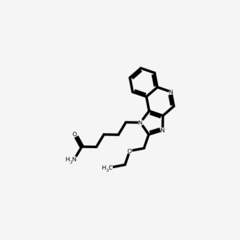 CCOCc1nc2cnc3ccccc3c2n1CCCCC(N)=O